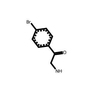 [NH]CC(=O)c1ccc(Br)cc1